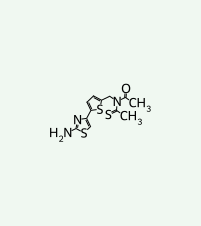 CC(=O)N(Cc1ccc(-c2csc(N)n2)s1)C(C)=S